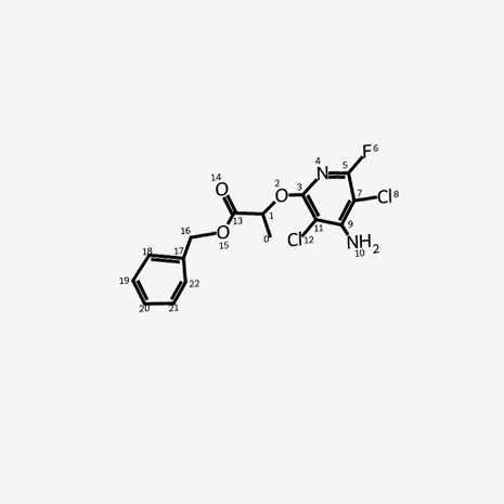 CC(Oc1nc(F)c(Cl)c(N)c1Cl)C(=O)OCc1ccccc1